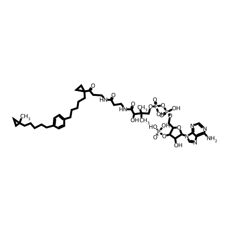 CC1(CCCCCc2ccc(CCCCCC3(C(=O)CCNC(=O)CCNC(=O)C(O)C(C)(C)COP(=O)(O)OP(=O)(O)OCC4OC(n5cnc6c(N)ncnc65)C(O)C4OP(=O)(O)O)CC3)cc2)CC1